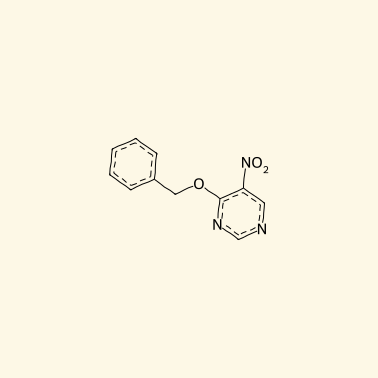 O=[N+]([O-])c1cncnc1OCc1ccccc1